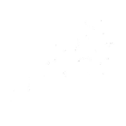 CCCCCCCOC(=O)C(C)c1cc(C(C)(C)C)c(O)c(C(C)(C)C)c1